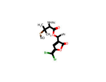 CCCC(OC(=O)C(NC(C)=O)C(C)(C)SN=O)C1=CC(=C(Br)Br)OC1=O